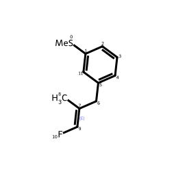 CSc1cccc(C/C(C)=C/F)c1